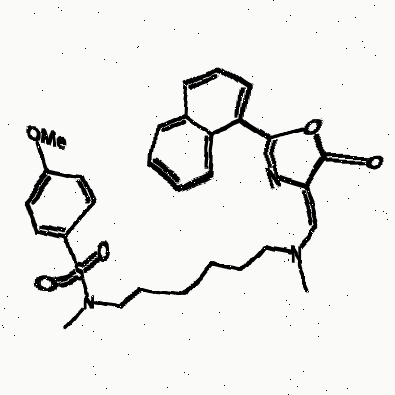 COc1ccc(S(=O)(=O)N(C)CCCCCCN(C)C=C2N=C(c3cccc4ccccc34)OC2=O)cc1